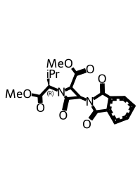 COC(=O)C1C(N2C(=O)c3ccccc3C2=O)C(=O)N1[C@@H](C(=O)OC)C(C)C